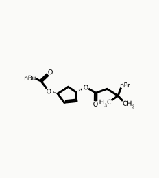 CCCCC(=O)O[C@H]1C=C[C@@H](OC(=O)CC(C)(C)CCC)C1